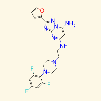 Nc1cc(NCCN2CCN(c3c(F)cc(F)cc3F)CC2)nc2nc(-c3ccco3)nn12